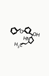 CCC[C@@H]1CC[C@H](C(O)c2cccc(OCc3ccccc3)c2)N1